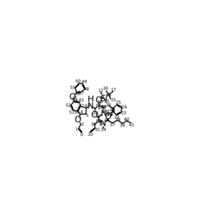 C=CCOC1CC(NC[C@@H](O[Si](C)(C)C(C)(C)C)[C@H](Cc2ccccc2)NC(=O)[C@H](CC=C)N(C)C(=O)CCCCC)c2cc(Oc3ccccc3)ccc21